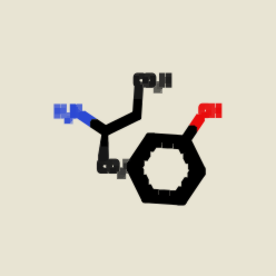 N[C@@H](CC(=O)O)C(=O)O.Oc1ccccc1